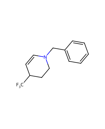 FC(F)(F)C1C=CN(Cc2ccccc2)CC1